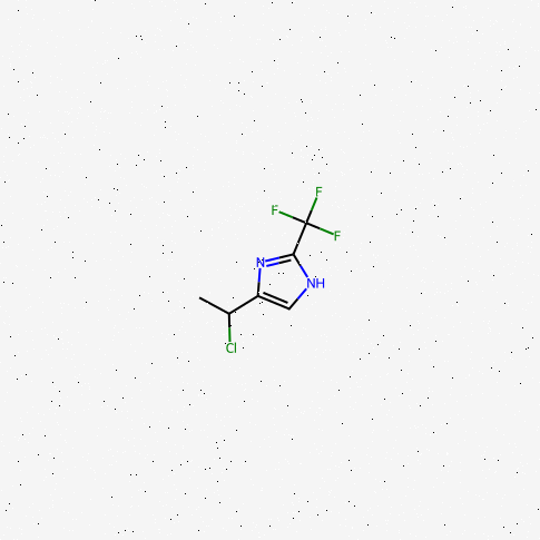 CC(Cl)c1c[nH]c(C(F)(F)F)n1